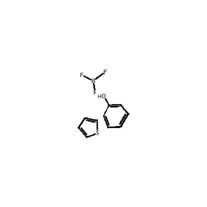 FB(F)F.Oc1ccccc1.c1ccsc1